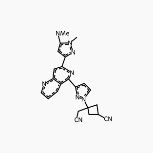 CNc1cc(-c2cc3ncccc3c(-c3ccn(C4(CC#N)CC(C#N)C4)n3)n2)nn1C